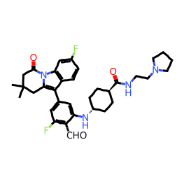 CC1(C)CC(=O)n2c(c(-c3cc(F)c(C=O)c(N[C@H]4CC[C@H](C(=O)NCCN5CCCC5)CC4)c3)c3ccc(F)cc32)C1